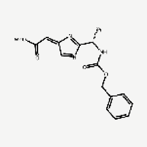 COC(=O)/C=C1\C=NC([C@@H](NC(=O)OCc2ccccc2)C(C)C)=N1